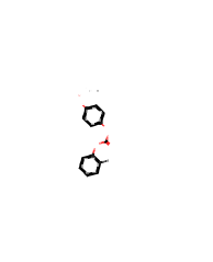 CCCCCCCCCOc1ccc(OC(=O)Oc2ccccc2C(=O)OCC)cc1